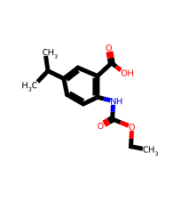 CCOC(=O)Nc1ccc(C(C)C)cc1C(=O)O